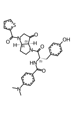 CN(C)c1ccc(C(=O)N[C@@H](Cc2ccc(O)cc2)C(=O)N2CC[C@@H]3[C@H]2C(=O)CN3C(=O)c2cccs2)cc1